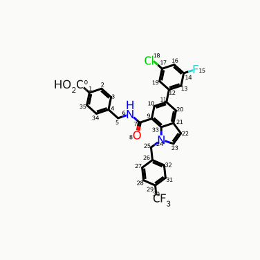 O=C(O)c1ccc(CNC(=O)c2cc(-c3cc(F)cc(Cl)c3)cc3ccn(Cc4ccc(C(F)(F)F)cc4)c23)cc1